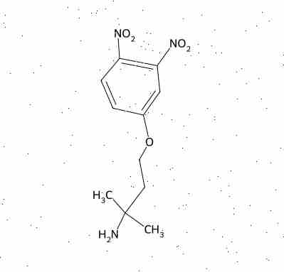 CC(C)(N)CCOc1ccc([N+](=O)[O-])c([N+](=O)[O-])c1